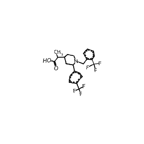 CC(C(=O)O)C1CCN(Cc2ccccc2C(F)(F)F)C(c2ccc(C(F)(F)F)cc2)C1